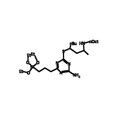 CCCCCCCCNC(C)CC(CCCC)Sc1nc(N)nc(CCC[Si](OCC)(OCC)OCC)n1